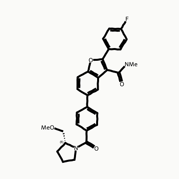 CNC(=O)c1c(-c2ccc(F)cc2)oc2ccc(-c3ccc(C(=O)N4CCC[C@@H]4COC)cc3)cc12